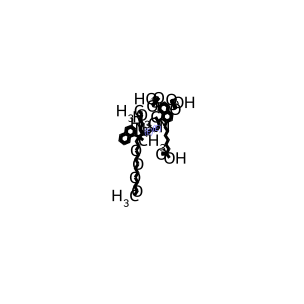 COCCOCCOCCOCCC1(C)C(/C=C/C=C2/N(CCCCCC(=O)O)c3ccc4c(S(=O)(=O)O)cc(S(=O)(=O)O)cc4c3C2(C)C)=[N+](CCOC)c2ccc3ccccc3c21